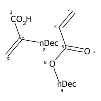 C=C(CCCCCCCCCC)C(=O)O.C=CC(=O)OCCCCCCCCCC